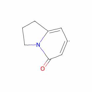 O=c1c[c]cc2n1CCC2